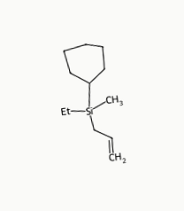 C=CC[Si](C)(CC)C1CCCCC1